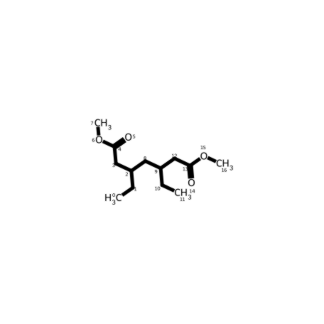 CCC(CC(=O)OC)CC(CC)CC(=O)OC